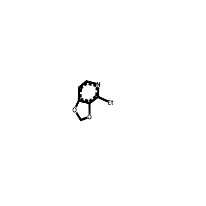 CCc1nccc2c1OCO2